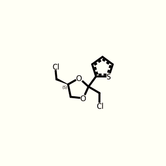 ClC[C@@H]1COC(CCl)(c2cccs2)O1